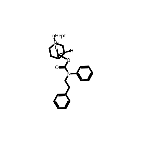 CCCCCCC[N+]12CCC(CC1)[C@@H](OC(=O)N(CCc1ccccc1)c1ccccc1)C2